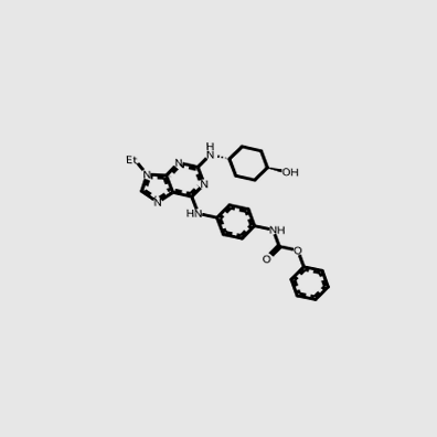 CCn1cnc2c(Nc3ccc(NC(=O)Oc4ccccc4)cc3)nc(N[C@H]3CC[C@H](O)CC3)nc21